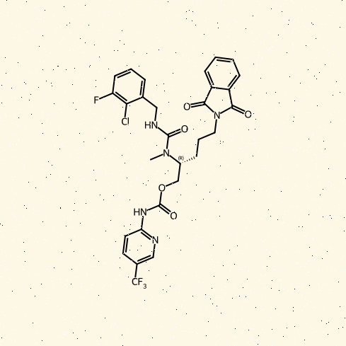 CN(C(=O)NCc1cccc(F)c1Cl)[C@H](CCCN1C(=O)c2ccccc2C1=O)COC(=O)Nc1ccc(C(F)(F)F)cn1